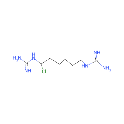 N=C(N)NCCCCCC(Cl)NC(=N)N